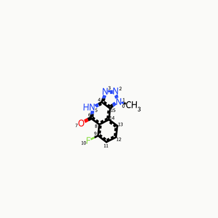 Cn1nnc2[nH]c(=O)c3c(F)cccc3c21